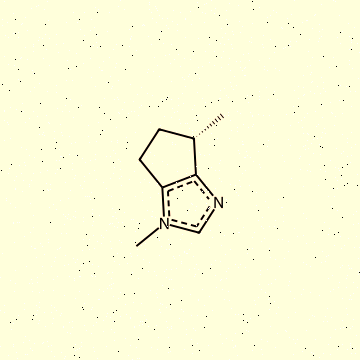 C[C@H]1CCc2c1ncn2C